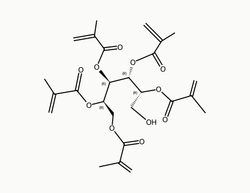 C=C(C)C(=O)OC[C@@H](OC(=O)C(=C)C)[C@@H](OC(=O)C(=C)C)[C@H](OC(=O)C(=C)C)[C@@H](CO)OC(=O)C(=C)C